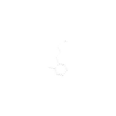 COCCCc1[c]cccc1C